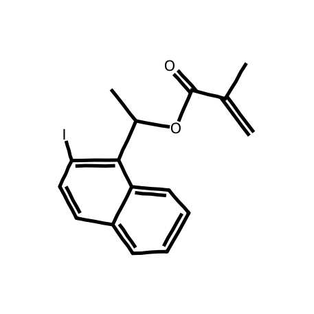 C=C(C)C(=O)OC(C)c1c(I)ccc2ccccc12